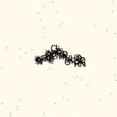 CNC(=O)c1ccc(C=CC(=O)NCC(=O)N(C)c2ccc(Cl)c(COc3cccc4c(OCc5ccccn5)cc(C)nc34)c2Cl)cc1OC